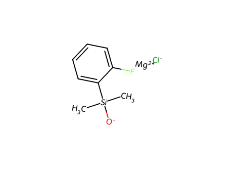 C[Si](C)([O-])c1ccccc1F.[Cl-].[Mg+2]